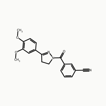 COc1ccc(C2=NN(C(=O)c3cccc(C#N)c3)CC2)cc1OC